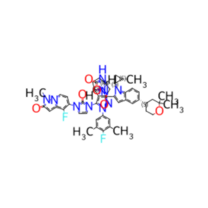 Cc1cc(-n2nc3c(c2-n2ccn(-c4ccn5c(cc(=O)n5C)c4F)c2=O)[C@@H]2CC[C@H](C3)N2C(=O)c2cc3cc([C@H]4CCOC(C)(C)C4)ccc3n2[C@@]2(c3noc(=O)[nH]3)C[C@@H]2C)cc(C)c1F